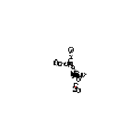 COc1ccc(-c2ccc3c(c2)c2cc(-c4ccc(OC)cc4)ccc2n3-c2ccc(-c3ccc(N(c4ccccc4)c4ccc(-c5ccc6oc7ccccc7c6c5)cc4)c4nsnc34)cc2)cc1